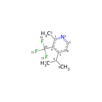 Cc1nccc(C(C)C)c1C(F)(F)F